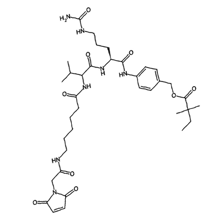 CCC(C)(C)C(=O)OCc1ccc(NC(=O)[C@H](CCCNC(N)=O)NC(=O)C(NC(=O)CCCCCNC(=O)CN2C(=O)C=CC2=O)C(C)C)cc1